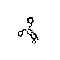 O=c1cc2n(cc1O)C[C@@H](CCc1ccccc1)N(Cc1ccccc1)C2